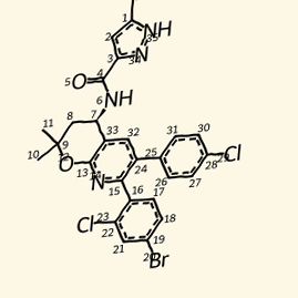 Cc1cc(C(=O)N[C@@H]2CC(C)(C)Oc3nc(-c4ccc(Br)cc4Cl)c(-c4ccc(Cl)cc4)cc32)n[nH]1